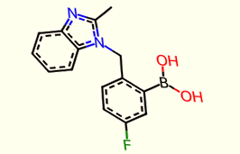 Cc1nc2ccccc2n1Cc1ccc(F)cc1B(O)O